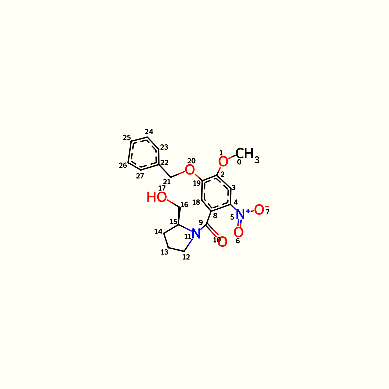 COc1cc([N+](=O)[O-])c(C(=O)N2CCC[C@H]2CO)cc1OCc1ccccc1